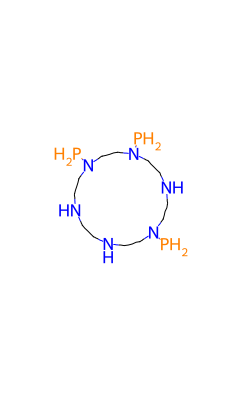 PN1CCNCCNCCN(P)CCN(P)CCNCC1